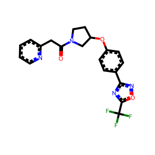 O=C(Cc1ccccn1)N1CCC(Oc2ccc(-c3noc(C(F)(F)F)n3)cc2)C1